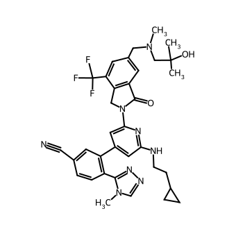 CN(Cc1cc2c(c(C(F)(F)F)c1)CN(c1cc(-c3cc(C#N)ccc3-c3nncn3C)cc(NCCC3CC3)n1)C2=O)CC(C)(C)O